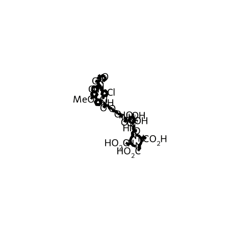 COc1cc2c(cc1-c1cccc(NC(=O)CCOCCOCCNC(=O)[C@H]3O[C@@H](CNC(=O)CN4CCN(CC(=O)O)CCN(CC(=O)O)CCN(CC(=O)O)CC4)[C@H](O)[C@@H](O)[C@H]3O)c1)-c1c(c(C(=O)N3CCOCC3(C)C)nn1-c1cc(Cl)cc(Cl)c1)CO2